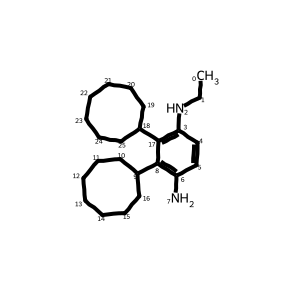 CCNc1ccc(N)c(C2CCCCCCC2)c1C1CCCCCCC1